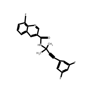 CC(C)(C#Cc1cc(F)cc(F)c1)NC(=O)c1cnc2c(F)cccc2c1